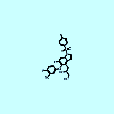 Cc1ccc(S(=O)(=O)n2ccc3c(CC(O)CO)c(Oc4ccc(F)c(C#N)c4)c(F)cc32)cc1